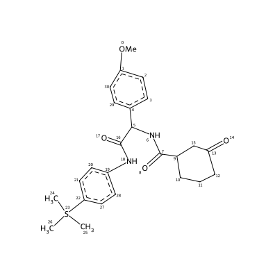 COc1ccc(C(NC(=O)C2CCCC(=O)C2)C(=O)Nc2ccc(S(C)(C)C)cc2)cc1